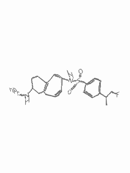 CCCNC1CCc2cc(NS(=O)(=O)c3ccc([C@H](C)CF)cc3)ccc2C1